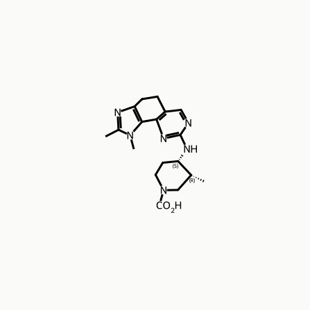 Cc1nc2c(n1C)-c1nc(N[C@H]3CCN(C(=O)O)C[C@H]3C)ncc1CC2